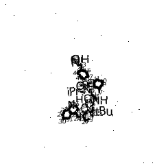 CC(C)CN(C[C@H](O)[C@H](Cc1ccccc1)NC(=O)[C@@H](N1CCN(Cc2ccnc3ccccc23)C1=O)C(C)(C)C)S(=O)(=O)c1ccc(C=NO)cc1